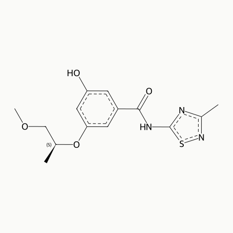 COC[C@H](C)Oc1cc(O)cc(C(=O)Nc2nc(C)ns2)c1